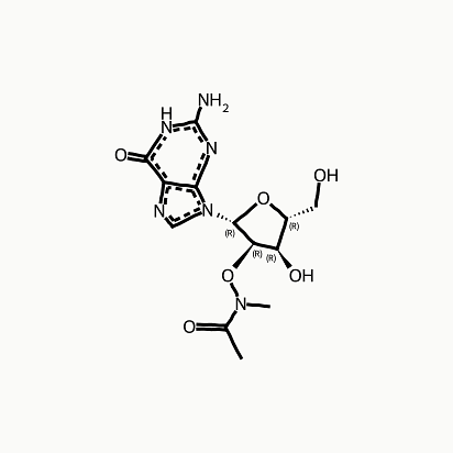 CC(=O)N(C)O[C@@H]1[C@H](O)[C@@H](CO)O[C@H]1n1cnc2c(=O)[nH]c(N)nc21